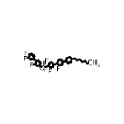 CCCCCCCc1ccc(-c2ccc(-c3cc(F)c(C(F)(F)Oc4ccc(-c5ccc(F)c(F)c5)c(F)c4)c(F)c3)c(F)c2)cc1